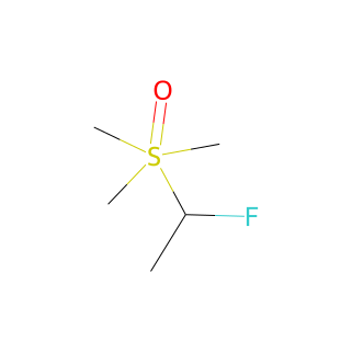 CC(F)S(C)(C)(C)=O